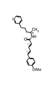 COc1ccc(/C=C/C=C/C(=O)N[C@H](C)CCCc2cccnc2)cc1